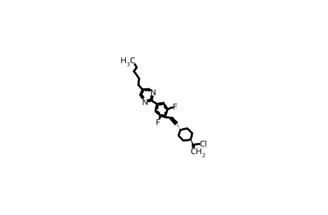 C=C(Cl)[C@H]1CC[C@H](C#Cc2c(F)cc(-c3ncc(CCCCC)cn3)cc2F)CC1